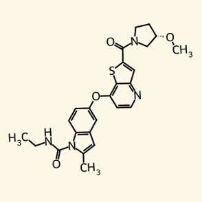 CCNC(=O)n1c(C)cc2cc(Oc3ccnc4cc(C(=O)N5CC[C@H](OC)C5)sc34)ccc21